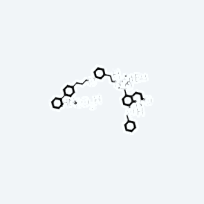 CC(C)(C)[Si](C)(C)O[C@H](CNCCc1cccc(OCCCc2ccc(-c3ccccc3)c(NC(=O)O)c2)c1)c1ccc(OCc2ccccc2)c2[nH]c(=O)ccc12